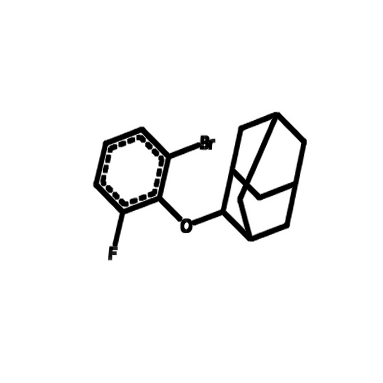 Fc1cccc(Br)c1OC1C2CC3CC(C2)CC1C3